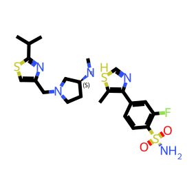 CC1=C(c2ccc(S(N)(=O)=O)c(F)c2)N=C[SH]1N(C)[C@H]1CCN(Cc2csc(C(C)C)n2)C1